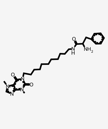 Cn1cnc2c1c(=O)n(CCCCCCCCCCCNC(=O)C(N)Cc1ccccc1)c(=O)n2C